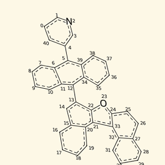 c1cncc(-c2c3ccccc3c(-c3cc4ccccc4c4c3oc3ccc5ccccc5c34)c3ccccc23)c1